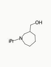 CC(C)N1CCCCC(CO)C1